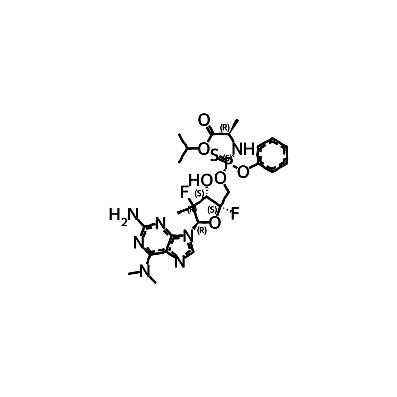 CC(C)OC(=O)[C@@H](C)N[P@](=S)(OC[C@@]1(F)O[C@@H](n2cnc3c(N(C)C)nc(N)nc32)[C@](C)(F)[C@@H]1O)Oc1ccccc1